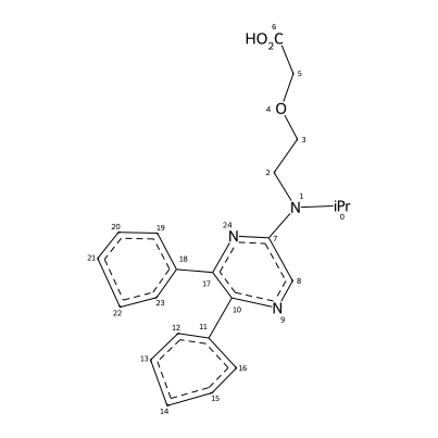 CC(C)N(CCOCC(=O)O)c1cnc(-c2ccccc2)c(-c2ccccc2)n1